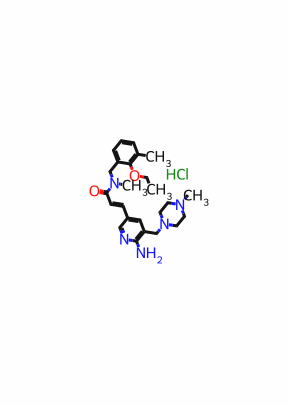 CCOc1c(C)cccc1CN(C)C(=O)/C=C/c1cnc(N)c(CN2CCN(C)CC2)c1.Cl